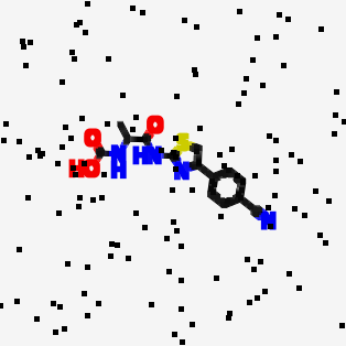 CC(NC(=O)O)C(=O)Nc1nc(-c2ccc(C#N)cc2)cs1